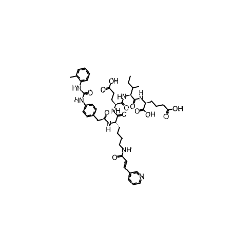 CCC(C)[C@H](NC(=O)[C@H](CCC(=O)O)NC(=O)[C@H](CCCCNC(=O)/C=C/c1cccnc1)NC(=O)Cc1ccc(NC(=O)Nc2ccccc2C)cc1)C(=O)N[C@@H](CCCC(=O)O)C(=O)O